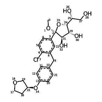 CO[C@]1(c2ccc(Cl)c(Cc3ccc(O[C@H]4CCOC4)cc3)c2)O[C@H]([C@H](O)CO)[C@H](O)[C@H]1O